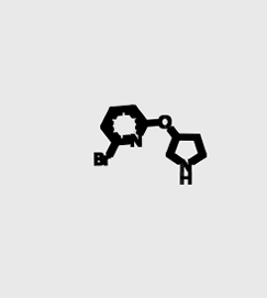 Brc1cccc(OC2CCNC2)n1